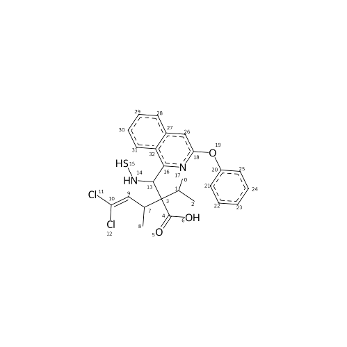 CC(C)C(C(=O)O)(C(C)C=C(Cl)Cl)C(NS)c1nc(Oc2ccccc2)cc2ccccc12